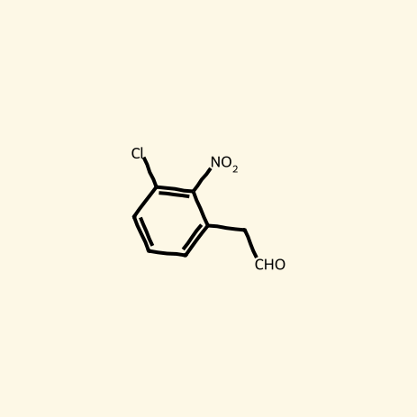 O=CCc1cccc(Cl)c1[N+](=O)[O-]